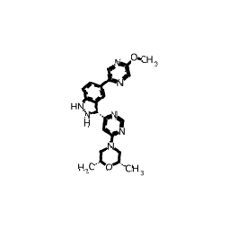 COc1cnc(-c2ccc3c(c2)[C@H](c2cc(N4C[C@@H](C)O[C@@H](C)C4)ncn2)NN3)cn1